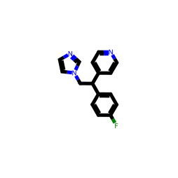 Fc1ccc(C([CH]n2ccnc2)c2ccncc2)cc1